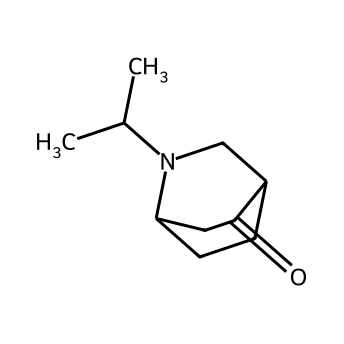 CC(C)N1CC2CCC1CC2=O